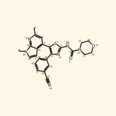 Cc1cc(-c2sc(NC(=O)N3CCOCC3)nc2-c2cccc(C#N)c2)c2ccn(C)c2n1